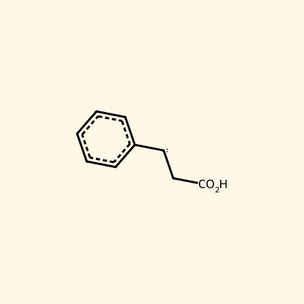 O=C(O)C[C]c1ccccc1